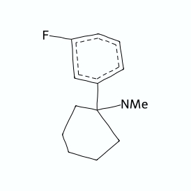 CNC1(c2cccc(F)c2)CCCCC1